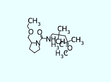 CCOCC1CCCN1C(=O)NCC(C)(C)CC(C)(C)OC